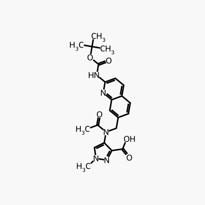 CC(=O)N(Cc1ccc2ccc(NC(=O)OC(C)(C)C)nc2c1)c1cn(C)nc1C(=O)O